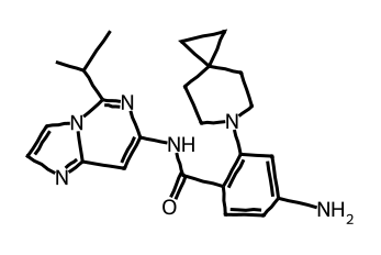 CC(C)c1nc(NC(=O)c2ccc(N)cc2N2CCC3(CC2)CC3)cc2nccn12